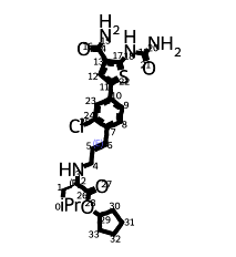 CC(C)C[C@@H](NC/C=C/c1ccc(-c2cc(C(N)=O)c(NC(N)=O)s2)cc1Cl)C(=O)OC1CCCC1